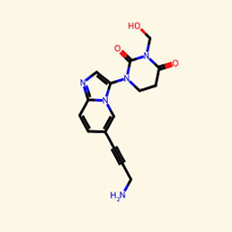 NCC#Cc1ccc2ncc(N3CCC(=O)N(CO)C3=O)n2c1